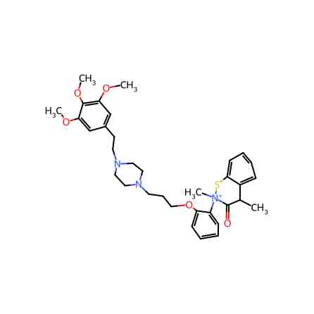 COc1cc(CCN2CCN(CCCOc3ccccc3[N+]3(C)Sc4ccccc4C(C)C3=O)CC2)cc(OC)c1OC